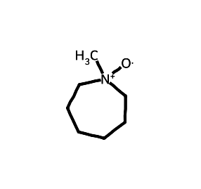 C[N+]1([O])CCCCCC1